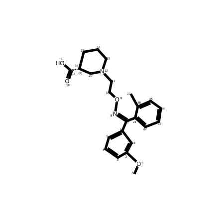 COc1cccc(C(=NOCCN2CCC[C@@H](C(=O)O)C2)c2ccccc2C)c1